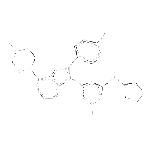 Cc1cc(-c2c(-c3ccc(F)cc3)nn3c(N4CCN(C)CC4)cccc23)nc(NC2CCCC2)n1